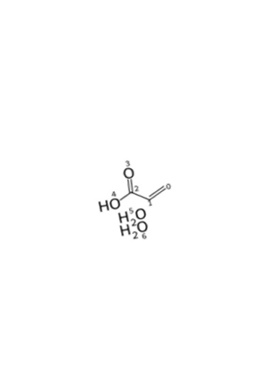 C=CC(=O)O.O.O